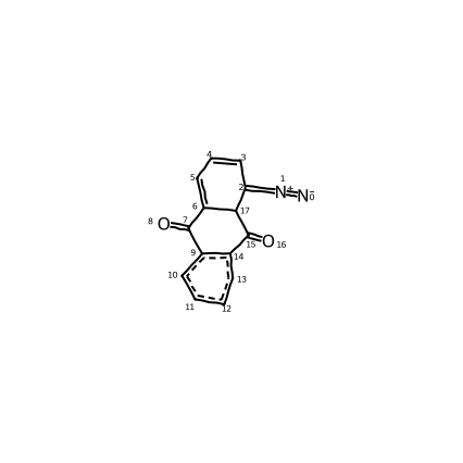 [N-]=[N+]=C1C=CC=C2C(=O)c3ccccc3C(=O)C21